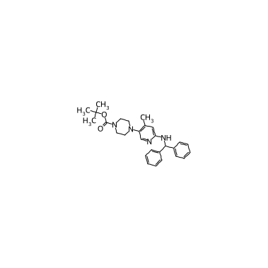 Cc1cc(NC(c2ccccc2)c2ccccc2)ncc1N1CCN(C(=O)OC(C)(C)C)CC1